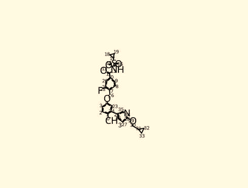 Cc1ccc(OCc2ccc(C(=O)NS(=O)(=O)C3CC3)cc2F)cc1-c1ccc(OCC2CC2)nc1